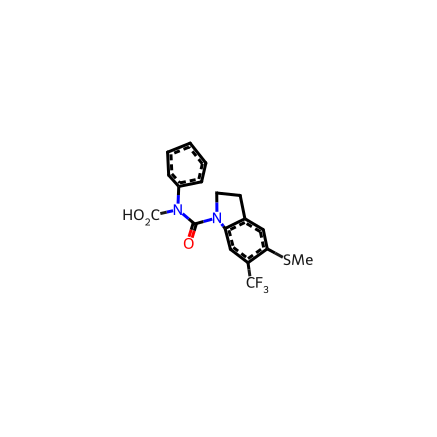 CSc1cc2c(cc1C(F)(F)F)N(C(=O)N(C(=O)O)c1ccccc1)CC2